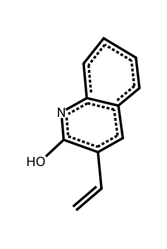 C=Cc1cc2ccccc2nc1O